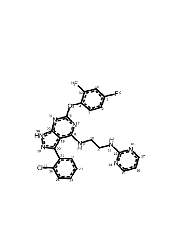 Fc1ccc(Oc2nc(NCCNc3ncccn3)c3c(-c4ccccc4Cl)n[nH]c3n2)c(F)c1